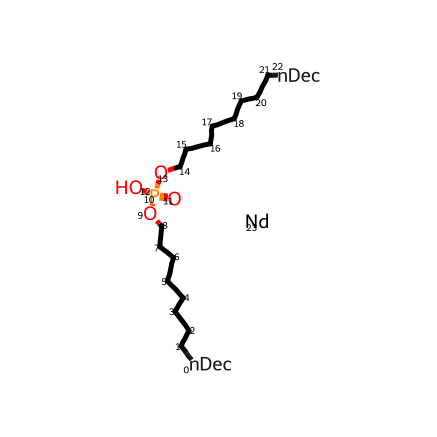 CCCCCCCCCCCCCCCCCCOP(=O)(O)OCCCCCCCCCCCCCCCCCC.[Nd]